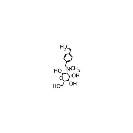 C=Cc1ccc(CN(C)[C@H]2C(O)O[C@H](CO)[C@@H](O)[C@@H]2O)cc1